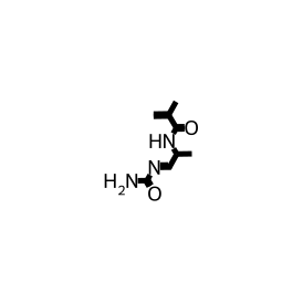 C=C(C)C(=O)NC(C)/C=N/C(N)=O